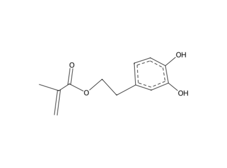 C=C(C)C(=O)OCCc1ccc(O)c(O)c1